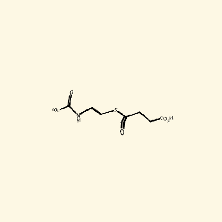 CC(C)(C)C(=O)NCCSC(=O)CCC(=O)O